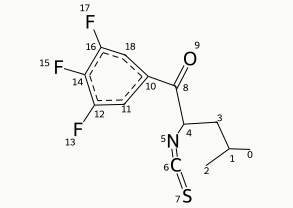 CC(C)CC(N=C=S)C(=O)c1cc(F)c(F)c(F)c1